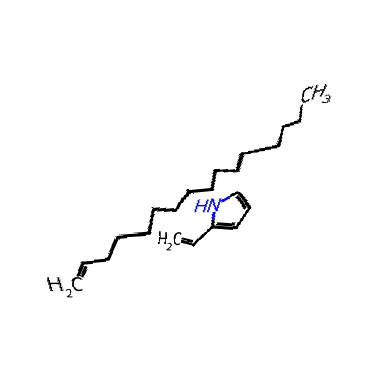 C=CCCCCCCCCCCCCCC.C=Cc1ccc[nH]1